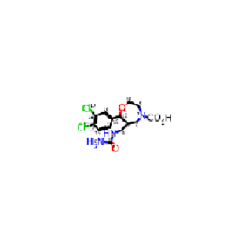 NC(=O)NCC1CN(C(=O)O)CCOC1c1ccc(Cl)c(Cl)c1